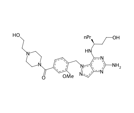 CCC[C@@H](CCO)Nc1nc(N)nc2cnn(Cc3ccc(C(=O)N4CCN(CCO)CC4)cc3OC)c12